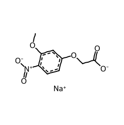 COc1cc(OCC(=O)[O-])ccc1[N+](=O)[O-].[Na+]